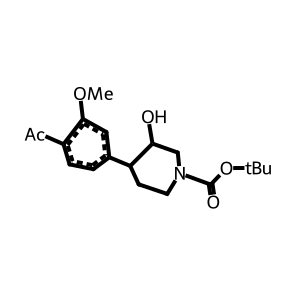 COc1cc(C2CCN(C(=O)OC(C)(C)C)CC2O)ccc1C(C)=O